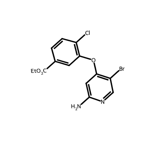 CCOC(=O)c1ccc(Cl)c(Oc2cc(N)ncc2Br)c1